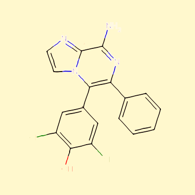 Nc1nc(-c2ccccc2)c(-c2cc(Cl)c(O)c(Cl)c2)n2ccnc12